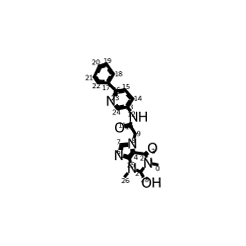 CN1C(=O)c2c(ncn2CC(=O)Nc2ccc(-c3ccccc3)nc2)N(C)C1O